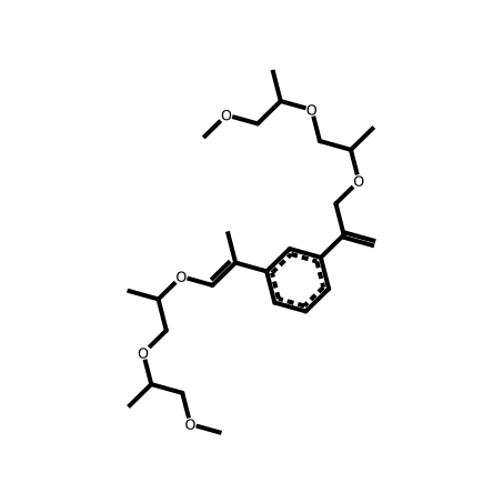 C=C(COC(C)COC(C)COC)c1cccc(C(C)=COC(C)COC(C)COC)c1